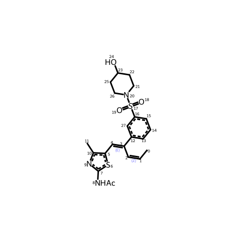 C/C=C\C(=C/c1sc(NC(C)=O)nc1C)c1cccc(S(=O)(=O)N2CCC(O)CC2)c1